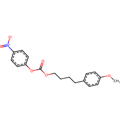 COc1ccc(CCCCOC(=O)Oc2ccc([N+](=O)[O-])cc2)cc1